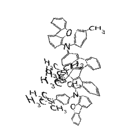 Cc1ccc(N(c2ccc3c4c(c5ccccc5c3c2)-c2c(cc(N(c3ccc([Si](C)(C)C)cc3)c3cccc5c3oc3ccccc35)c3ccccc23)C4([Si](C)(C)C)[Si](C)(C)C)c2cccc3c2oc2ccccc23)cc1